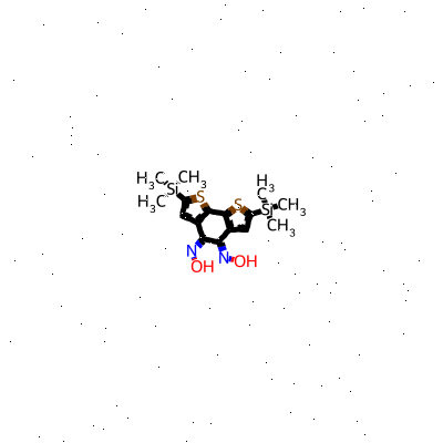 C[Si](C)(C)c1cc2c(s1)-c1sc([Si](C)(C)C)cc1C(=N\O)/C2=N\O